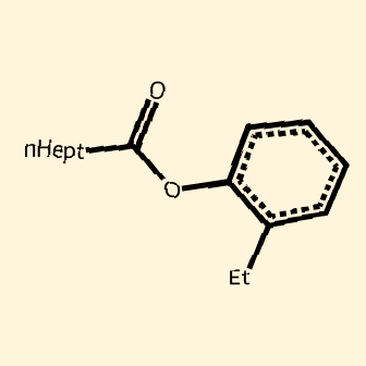 CCCCCCCC(=O)Oc1ccccc1CC